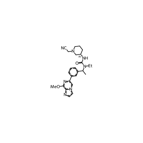 CCN(C(=O)N[C@@H]1CCCN(CC#N)C1)C(C)c1cccc(-c2cn3ccnc3c(OC)n2)c1